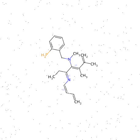 C=C\C=C/N=C(CC)/C(=C(\C)C(=C)C)N(C)Cc1ccccc1P